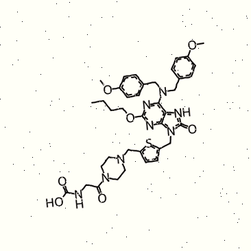 CCCCOc1nc(N(Cc2ccc(OC)cc2)Cc2ccc(OC)cc2)c2[nH]c(=O)n(Cc3ccc(CN4CCN(C(=O)CNC(=O)O)CC4)s3)c2n1